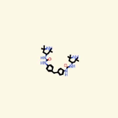 CC1(C)CC(NC(=O)Nc2ccc(Cc3ccc(NC(=O)NC4CC(C)(C)NC(C)(C)C4)cc3)cc2)CC(C)(C)N1